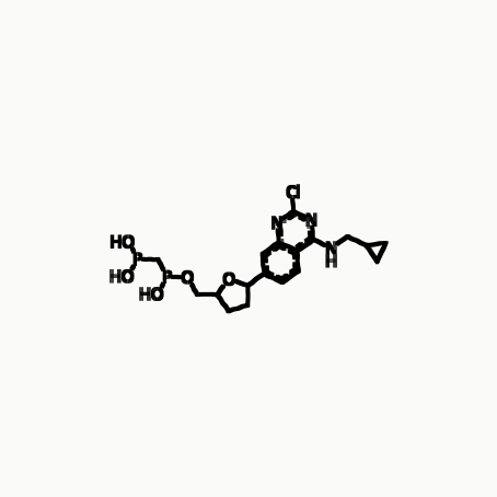 OP(O)CP(O)OCC1CCC(c2ccc3c(NCC4CC4)nc(Cl)nc3c2)O1